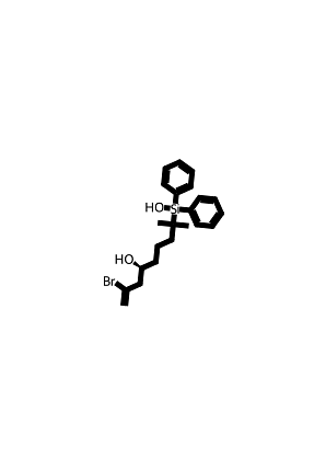 C=C(Br)C[C@@H](O)CCCC(C)(C)[Si](O)(c1ccccc1)c1ccccc1